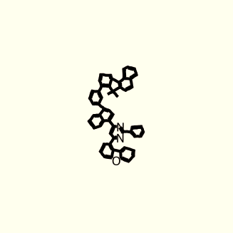 CC1(C)c2ccc3ccccc3c2-c2cccc(-c3cccc(-c4ccc(-c5cc(-c6cccc7oc8ccccc8c67)nc(-c6ccccc6)n5)c5ccccc45)c3)c21